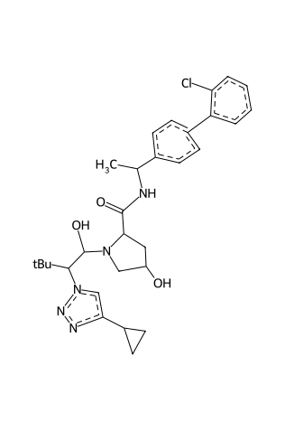 CC(NC(=O)C1CC(O)CN1C(O)C(n1cc(C2CC2)nn1)C(C)(C)C)c1ccc(-c2ccccc2Cl)cc1